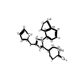 O=C1CCC(c2nc(Cc3cccs3)nn2-c2cccc3c2CCC3)CN1